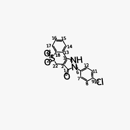 O=c1c2c([nH]n1-c1ccc(Cl)cc1)-c1ccccc1S(=O)(=O)C2